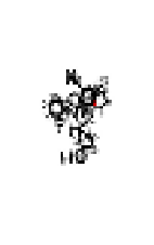 N#Cc1cccc([C@]23CCC(N(CCN4CC[C@@H](O)C4)C(=O)Nc4ccccc4F)CC2C3)c1